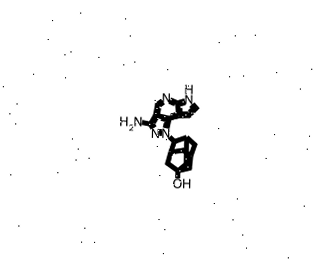 Nc1nn(C2C3CC4CC2CC(O)(C4)C3)c2c1cnc1[nH]ccc12